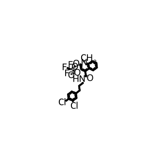 Cn1c(=O)c(OS(=O)(=O)C(F)(F)F)c(C(=O)NCCCc2ccc(Cl)c(Cl)c2)c2ccccc21